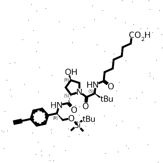 C#Cc1ccc([C@H](CO[Si](C)(C)C(C)(C)C)NC(=O)[C@@H]2C[C@@H](O)CN2C(=O)[C@@H](NC(=O)CCCCCCC(=O)O)C(C)(C)C)cc1